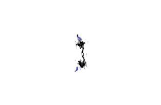 C/C=C/n1nnn(CCOCCn2nnn(/C=C/C)c2=O)c1=O